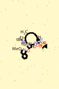 CC[C@@H]1C[C@@H](C)CC/C=C\[C@@H]2C[C@@]2(C(=O)NS(=O)(=O)C2(CF)CC2)NC(=O)[C@@H]2C[C@@H](Oc3nc(OC)cc4ccccc34)CN2C(=O)[C@H]1N(C(=O)O)C(C)(C)C